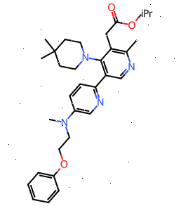 Cc1ncc(-c2ccc(N(C)CCOc3ccccc3)cn2)c(N2CCC(C)(C)CC2)c1CC(=O)OC(C)C